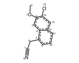 COc1cc2c(CC#N)cccc2cc1Cl